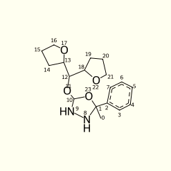 CC1(c2ccccc2)NNC(OC(C2CCCO2)C2CCCO2)O1